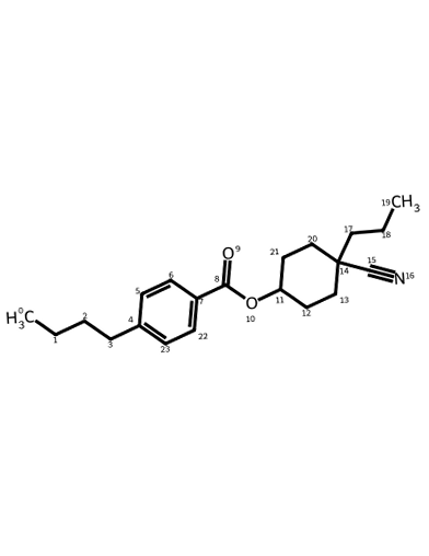 CCCCc1ccc(C(=O)OC2CCC(C#N)(CCC)CC2)cc1